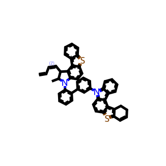 C=C/C=C\C1c2c(ccc3sc4ccccc4c23)N(c2ccccc2-c2cccc(-n3c4ccccc4c4c5c6c(sc5ccc43)C=CCC6)c2)C1C